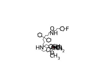 COc1cc2c(cc1OC)C(CCCC(CCCNC(=O)CCc1ccc(F)cc1)(c1ccccc1)c1ccccc1)(Cc1ccc(N)cc1)NCC2.Cl.Cl